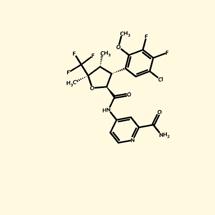 COc1c([C@@H]2[C@@H](C(=O)Nc3ccnc(C(N)=O)c3)O[C@@](C)(C(F)(F)F)[C@@H]2C)cc(Cl)c(F)c1F